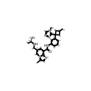 Cc1cnc2c(C(=O)Nc3cccc(C4(c5nncn5C)CC(C)C4)c3)cc(CN[C@@H](C)C(C)C)cn12